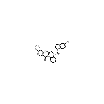 CCc1ccc(C(=O)N2c3ccccc3[C@@H](C(=O)N3CCc4cc(Cl)ccc43)C[C@@H]2C)cc1